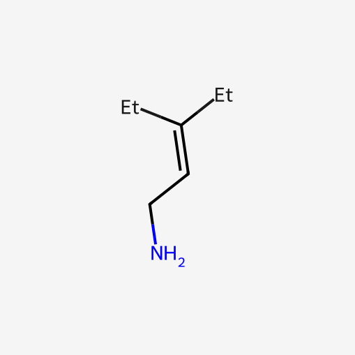 CCC(=CCN)CC